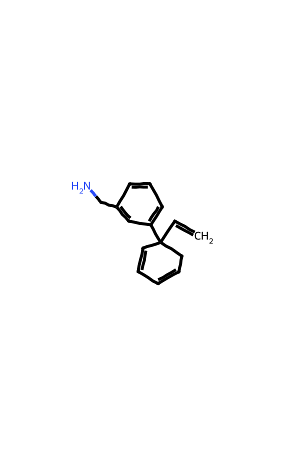 C=CC1(c2cccc(CN)c2)C=CC=CC1